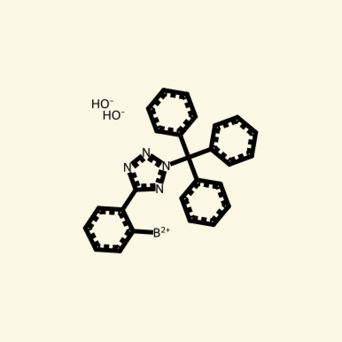 [B+2]c1ccccc1-c1nnn(C(c2ccccc2)(c2ccccc2)c2ccccc2)n1.[OH-].[OH-]